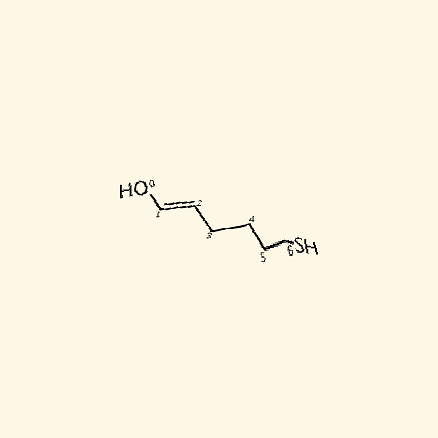 OC=CCCCS